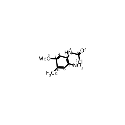 COc1cc(NC(=O)Cl)c([N+](=O)[O-])cc1C(F)(F)F